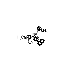 C=CC(=O)N1CCN(c2nc(OC[C@@H]3CCCN3C)nc3c2CCC(c2cccc4ccccc24)O3)C[C@@H]1CC#N